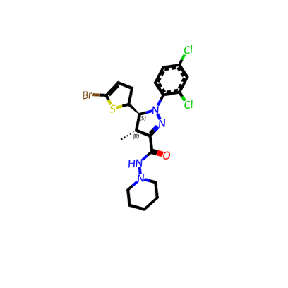 C[C@H]1C(C(=O)NN2CCCCC2)=NN(c2ccc(Cl)cc2Cl)[C@@H]1C1CC=C(Br)S1